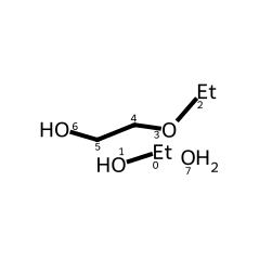 CCO.CCOCCO.O